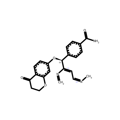 C=N/C(=C\C=N/C)[C@@H](Oc1ccc2c(c1)OCCC2=O)c1ccc(C(N)=O)cc1